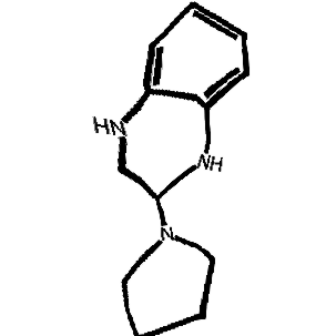 c1ccc2c(c1)NCC(N1CCCC1)N2